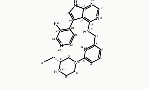 FC[C@@H]1CN(c2cccc(CNc3ncnc4[nH]cc(-c5ccncc5F)c34)n2)CCN1